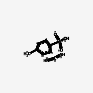 Cc1ccc(S(=O)(=O)O)cc1.N=C=N